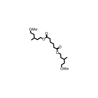 COCCC(C)CCOC(=O)CCCCC(=O)OCCC(C)CCOC